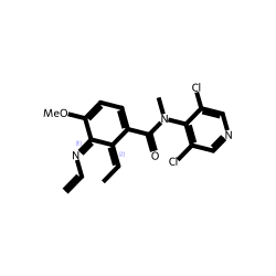 C=C/N=C1/C(OC)=CC=C(C(=O)N(C)c2c(Cl)cncc2Cl)/C1=C/C